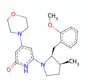 COc1ccccc1C[C@H]1[C@@H](C)CCN1c1cc(N2CCOCC2)cc(=O)[nH]1